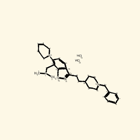 CN(C)Cc1c(N2CCCCC2)ccc2c(CCC3CCN(Cc4ccccc4)CC3)noc12.Cl.Cl